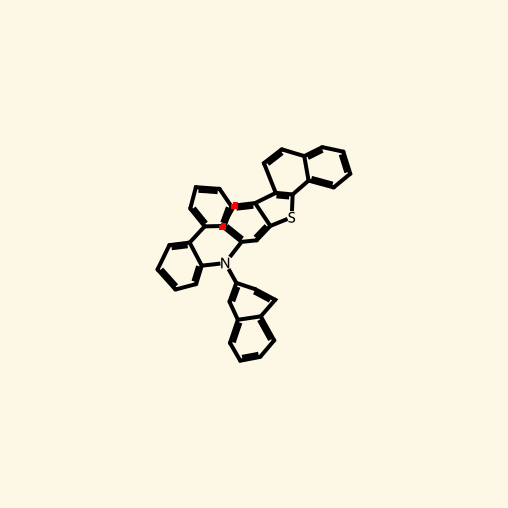 c1ccc(-c2ccccc2N(c2ccc3ccccc3c2)c2ccc3c(c2)sc2c4ccccc4ccc32)cc1